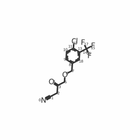 N#CCC(=O)COCc1ccc(Cl)c(C(F)(F)F)c1